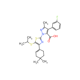 Cc1nn(-c2nc(C3=CCC(C)(C)CC3)c(SC(C)C)s2)c(C(=O)O)c1-c1cccc(F)c1